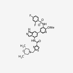 COc1ncc(-c2cc(NC(=O)c3csc(CN4C[C@@H](C)O[C@@H](C)C4)n3)c3cn[nH]c3c2)cc1NS(=O)(=O)c1ccc(F)cc1F